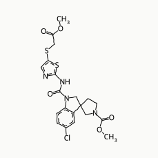 COC(=O)CSc1cnc(NC(=O)N2CC3(CCN(C(=O)OC)C3)c3cc(Cl)ccc32)s1